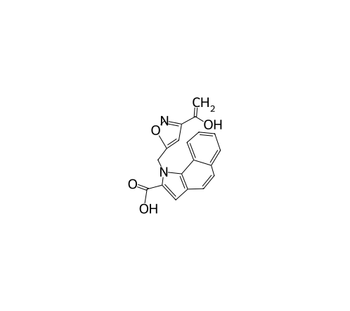 C=C(O)c1cc(Cn2c(C(=O)O)cc3ccc4ccccc4c32)on1